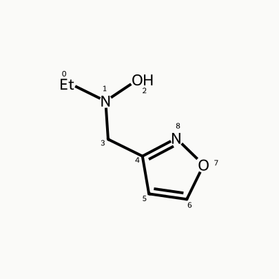 CCN(O)Cc1ccon1